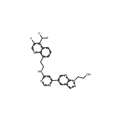 OCCn1ncc2cc(-c3cc(NCCc4cccc5c(C(F)F)c(F)cnc45)ncn3)cnc21